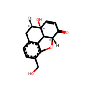 CC[C@@H]1Cc2ccc(CO)c3c2C2[C@@H](O3)C(=O)C=C[C@]21O